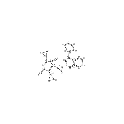 O=C1C=C(N2CC2)C(=O)C(N2CC2)=C1N1CC1.c1ccc(-c2nccc3ccccc23)cc1